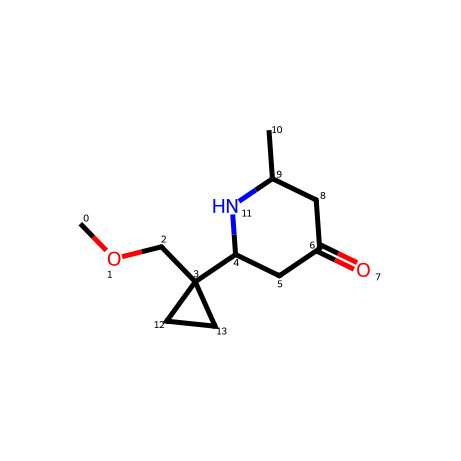 COCC1(C2CC(=O)CC(C)N2)CC1